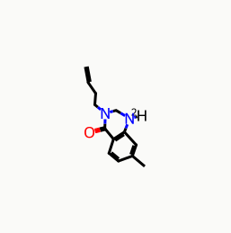 [2H]N1CN(CCC=C)C(=O)c2ccc(C)cc21